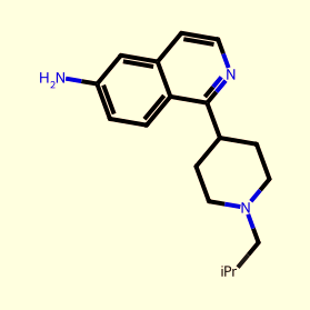 CC(C)CN1CCC(c2nccc3cc(N)ccc23)CC1